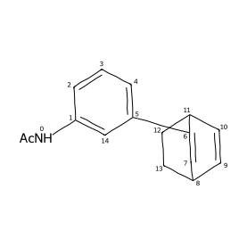 CC(=O)Nc1cccc(C2=CC3C=CC2CC3)c1